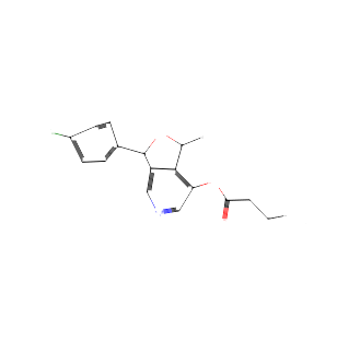 CC1OC(c2ccc(Cl)cc2)c2cncc(OC(=O)CCC(=O)O)c21